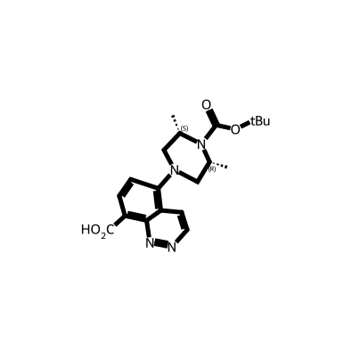 C[C@@H]1CN(c2ccc(C(=O)O)c3nnccc23)C[C@H](C)N1C(=O)OC(C)(C)C